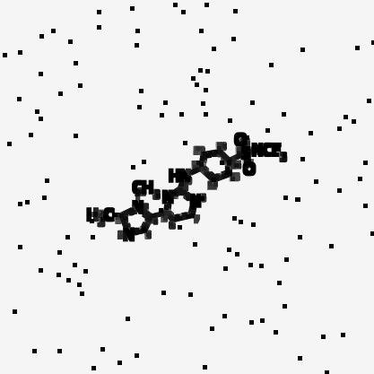 Cc1ncc(-c2ccnc(Nc3ccc(S(=O)(=O)NC(F)(F)F)cc3)n2)n1C